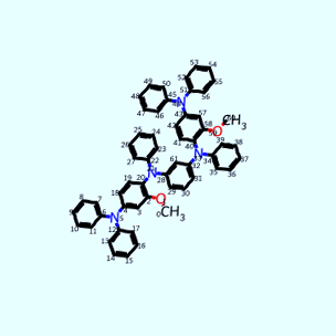 COc1cc(N(c2ccccc2)c2ccccc2)ccc1N(c1ccccc1)c1cccc(N(c2ccccc2)c2ccc(N(c3ccccc3)c3ccccc3)cc2OC)c1